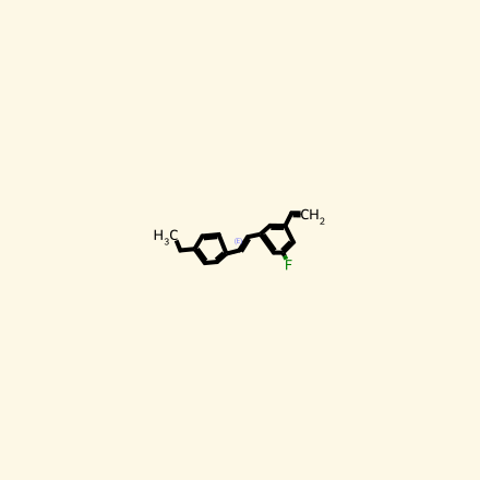 C=Cc1cc(F)cc(/C=C/c2ccc(CC)cc2)c1